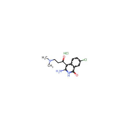 CN(C)CCC(=O)c1c(N)[nH]c(=O)c2cc(Cl)ccc12.Cl